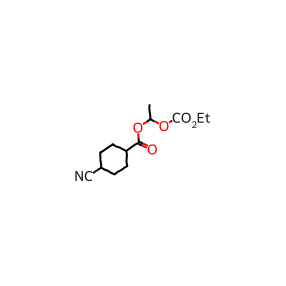 CCOC(=O)OC(C)OC(=O)C1CCC(C#N)CC1